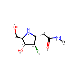 CCNC(=O)C[C@H]1N[C@H](CO)[C@@H](O)[C@@H]1F